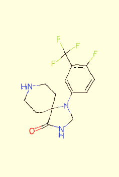 O=C1NCN(c2ccc(F)c(C(F)(F)F)c2)C12CCNCC2